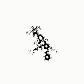 C=CCOC(=O)N1c2cc(OCc3ccccc3)c(OC)cc2C(=O)N2CCC(c3cn(C)c(=O)n(C)c3=O)=C[C@H]2C1O